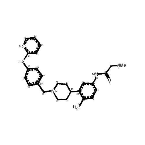 CNCC(=O)Nc1ccc(C)c(C2CCN(Cc3ccc(Sc4ccccn4)cc3)CC2)c1